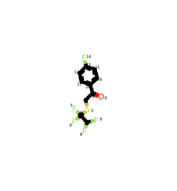 O=C(CSC(F)(F)C(F)F)c1ccc(F)cc1